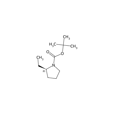 CC[C@@H]1CCCN1C(=O)OC(C)(C)C